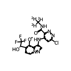 [2H]C([2H])([2H])NC(=O)c1nnc(Cl)cc1Nc1cnn2ccc([C@H](O)C(F)(F)F)c(OC)c12